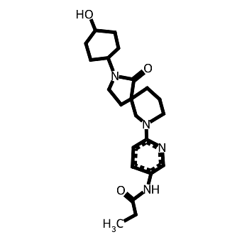 CCC(=O)Nc1ccc(N2CCCC3(CCN(C4CCC(O)CC4)C3=O)C2)nc1